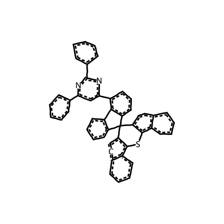 c1ccc(-c2cc(-c3cccc4c3-c3ccccc3C43c4ccc5ccccc5c4Sc4c3ccc3ccccc43)nc(-c3ccccc3)n2)cc1